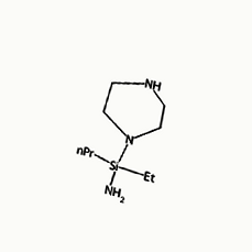 CCC[Si](N)(CC)N1CCNCC1